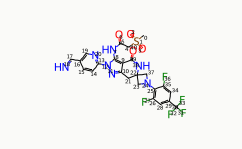 CS(=O)(=O)CC(=O)Nc1c2c(nn1-c1ccc(C=N)cn1)CC1(CN(c3c(F)cc(C(F)(F)F)cc3F)C1)NC2=O